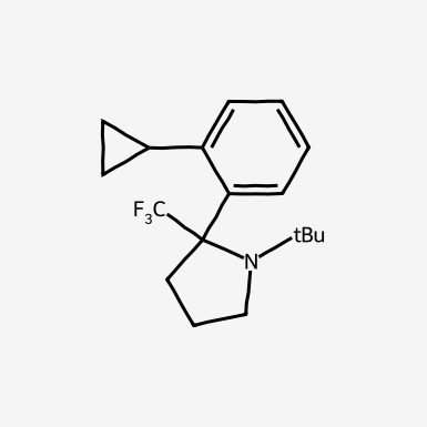 CC(C)(C)N1CCCC1(c1ccccc1C1CC1)C(F)(F)F